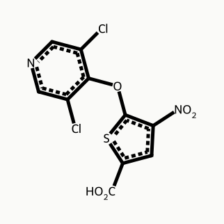 O=C(O)c1cc([N+](=O)[O-])c(Oc2c(Cl)cncc2Cl)s1